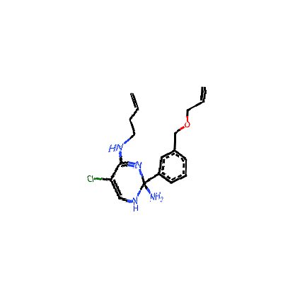 C=CCCNC1=NC(N)(c2cccc(COCC=C)c2)NC=C1Cl